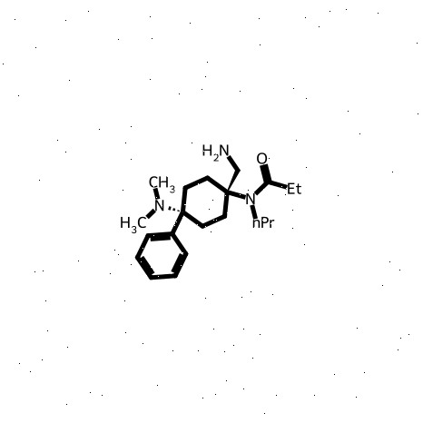 CCCN(C(=O)CC)[C@]1(CN)CC[C@](c2ccccc2)(N(C)C)CC1